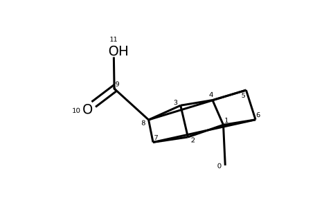 CC12C3C4C1C1C2C3C41C(=O)O